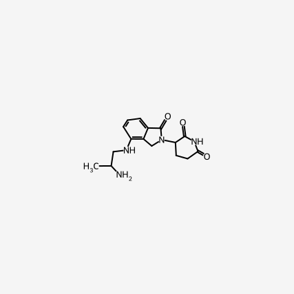 CC(N)CNc1cccc2c1CN(C1CCC(=O)NC1=O)C2=O